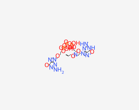 C=CCON1C[C@H](n2c[n+](C)c3c(=O)[nH]c(NC)nc32)O[C@@H]1COP(=O)(O)OP(=O)(O)OP(=O)(O)OCCOCn1cnc2c(=O)n(C)c(N)nc21